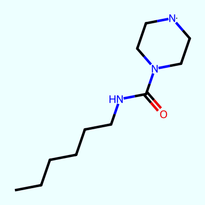 CCCCCCNC(=O)N1CC[N]CC1